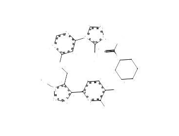 Cc1nc(-c2nnn(C)c2COc2cc(-n3cnnc3C)ncn2)ccc1O[C@H]1CCC[C@H](C(=O)O)C1